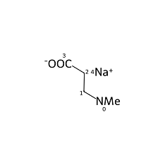 CNCCC(=O)[O-].[Na+]